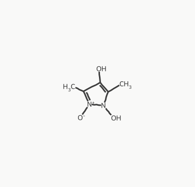 Cc1c(O)c(C)[n+]([O-])n1O